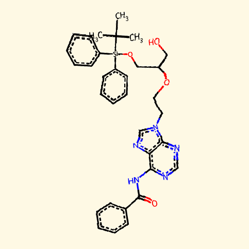 CC(C)(C)[Si](OCC(CO)OCCn1cnc2c(NC(=O)c3ccccc3)ncnc21)(c1ccccc1)c1ccccc1